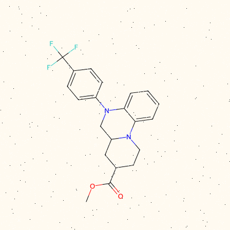 COC(=O)C1CCN2c3ccccc3N(c3ccc(C(F)(F)F)cc3)CC2C1